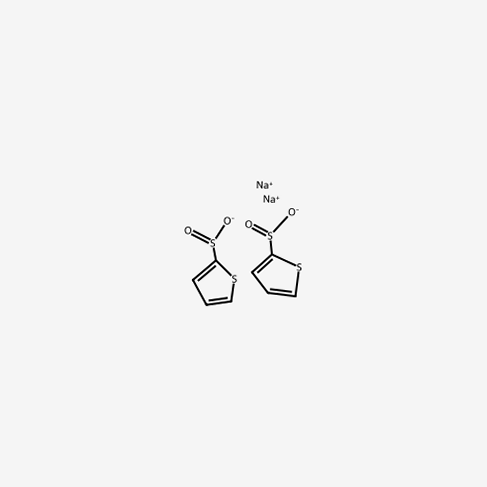 O=S([O-])c1cccs1.O=S([O-])c1cccs1.[Na+].[Na+]